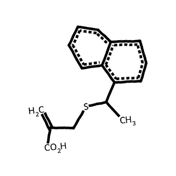 C=C(CSC(C)c1cccc2ccccc12)C(=O)O